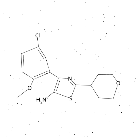 COc1ccc(Cl)cc1-c1nc(C2CCOCC2)sc1N